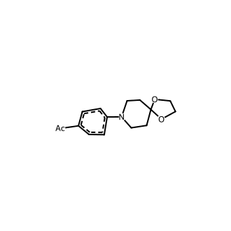 CC(=O)c1ccc(N2CCC3(CC2)OCCO3)cc1